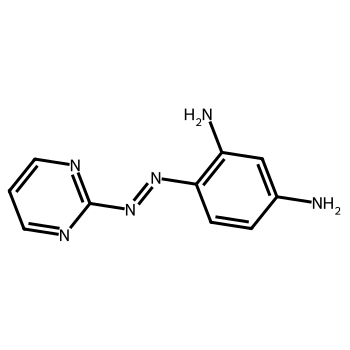 Nc1ccc(N=Nc2ncccn2)c(N)c1